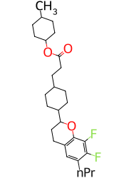 CCCc1cc2c(c(F)c1F)OC(C1CCC(CCC(=O)OC3CCC(C)CC3)CC1)CC2